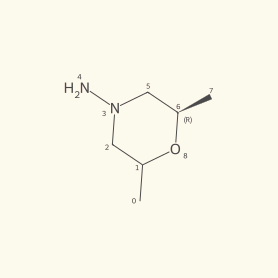 CC1CN(N)C[C@@H](C)O1